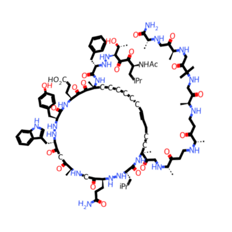 CC(=O)N[C@@H](CC(C)C)C(=O)C(=O)[C@@H](NN[C@@H](Cc1ccccc1)C(=O)N[C@]1(C)CCCCCC/C=C/CCC[C@@](C)(C(=O)CN[C@@H](C)C(=O)CCN[C@@H](C)C(=O)CCN[C@@H](C)C(=O)CNC(C)(C)C(=O)CN[C@@H](C)C(=O)CN[C@H](C)C(N)=O)NC(=O)[C@H](CC(C)C)NN[C@@H](CCC(N)=O)C(=O)CN[C@@H](C)C(=O)CC(=O)[C@H](Cc2c[nH]c3ccccc23)NN[C@@H](Cc2ccc(O)cc2)C(=O)N[C@@H](CCC(=O)O)C(=O)C1=O)[C@@H](C)O